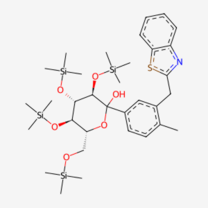 Cc1ccc(C2(O)O[C@H](CO[Si](C)(C)C)[C@@H](O[Si](C)(C)C)[C@H](O[Si](C)(C)C)[C@H]2O[Si](C)(C)C)cc1Cc1nc2ccccc2s1